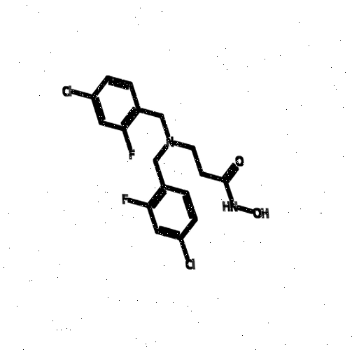 O=C(CCN(Cc1ccc(Cl)cc1F)Cc1ccc(Cl)cc1F)NO